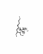 CCCCCCCC(CC)C(CC)S(N)(=O)=O